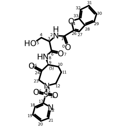 O=C(NC(CO)C(=O)N[C@H]1CCCN(S(=O)(=O)c2ccccn2)CC1=O)c1cc2ccccc2o1